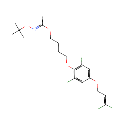 CC(=NOC(C)(C)C)OCCCCOc1c(Cl)cc(OCC=C(Cl)Cl)cc1Cl